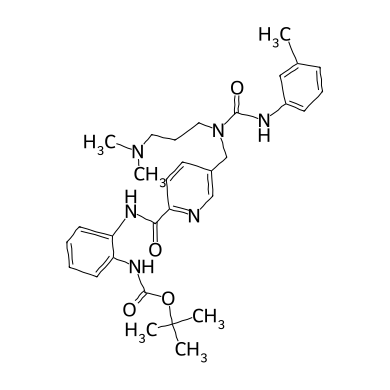 Cc1cccc(NC(=O)N(CCCN(C)C)Cc2ccc(C(=O)Nc3ccccc3NC(=O)OC(C)(C)C)nc2)c1